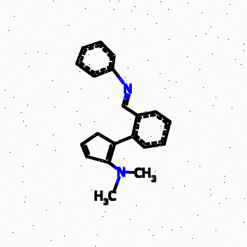 CN(C)C1=C(c2ccccc2/C=N/c2ccccc2)CC=C1